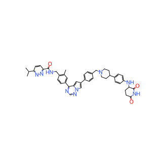 Cc1cc(-c2ncnn3cc(-c4ccc(CN5CCC(c6ccc(NC7CCC(=O)NC7=O)cc6)CC5)cc4)cc23)ccc1CNC(=O)c1ccc(C(C)C)nn1